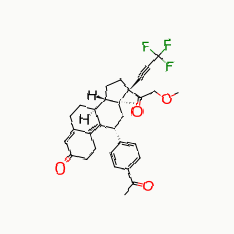 COCC(=O)[C@@]1(C#CC(F)(F)F)CC[C@H]2[C@@H]3CCC4=CC(=O)CCC4=C3[C@@H](c3ccc(C(C)=O)cc3)C[C@@]21C